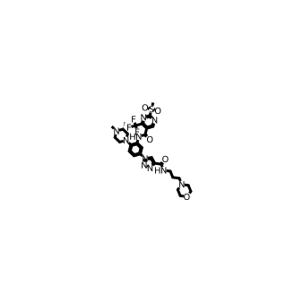 C[C@@H]1CN(c2ccc(-n3cc(C(=O)NCCCN4CCOCC4)nn3)cc2NC(=O)c2cnc(S(C)(=O)=O)nc2C(F)(F)F)CCN1C